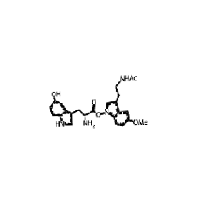 COc1ccc2c(c1)c(CCNC(C)=O)cn2OC(=O)[C@@H](N)Cc1c[nH]c2ccc(O)cc12